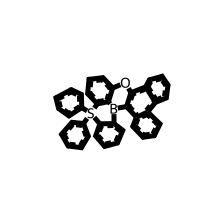 c1ccc(S2(c3ccccc3)c3ccccc3B3c4c(cccc42)Oc2c3c3ccccc3c3ccccc23)cc1